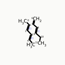 C/C=C/C=C/C.C=C/C=C/CC